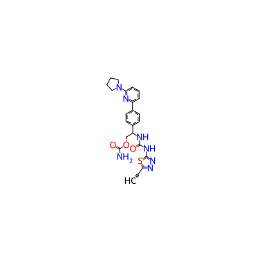 C#Cc1nnc(NC(=O)NC(COC(N)=O)c2ccc(-c3cccc(N4CCCC4)n3)cc2)s1